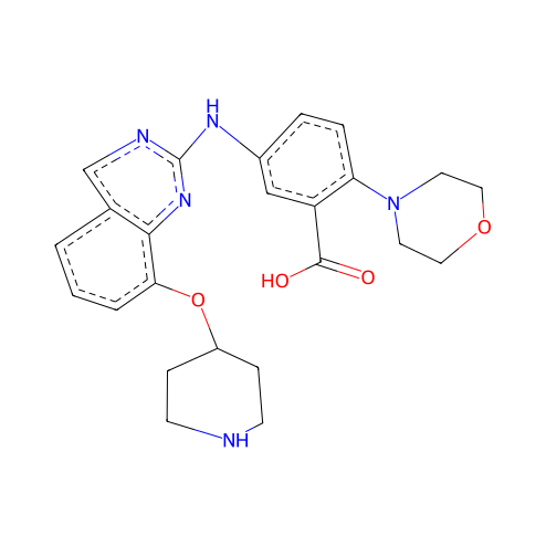 O=C(O)c1cc(Nc2ncc3cccc(OC4CCNCC4)c3n2)ccc1N1CCOCC1